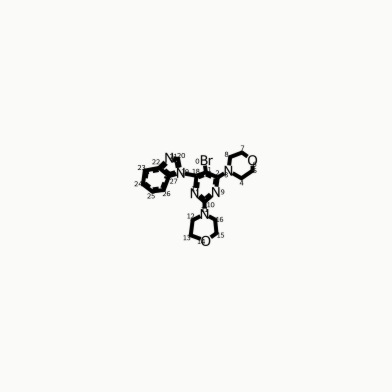 Brc1c(N2CCOCC2)nc(N2CCOCC2)nc1-n1cnc2ccccc21